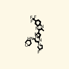 Cc1nc2ccc(C(F)(F)F)cc2nc1-c1cc2nc(N3CC[C@@H](F)C3)cc(NC3CCOCC3)n2n1